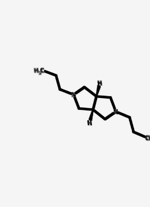 CCCN1C[C@H]2CN(CCC)C[C@H]2C1